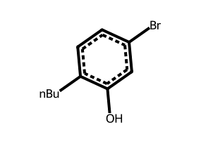 CCCCc1ccc(Br)cc1O